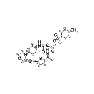 Cc1ccc(S(=O)(=O)OCC(CNC(=O)c2ccc(Cl)s2)OC(=O)Nc2ccc(N3CCOCC3=O)cc2)cc1